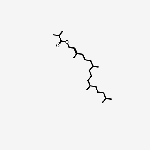 C/C(=C\COC(=O)C(C)C)CCCC(C)CCCC(C)CCCC(C)C